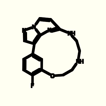 Fc1ccc2cc1OCCNCCNc1ccn3ncc-2c3n1